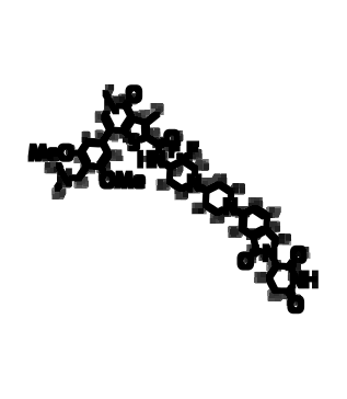 COc1cc(-c2cn(C)c(=O)c3c(C)c(C(=O)NC4CCN(C5CCN(c6ccc7c(c6)C(=O)N(C6CCC(=O)NC6=O)C7)CC5)CC4(F)F)sc23)cc(OC)c1CN(C)C